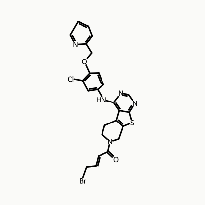 O=C(/C=C/CBr)N1CCc2c(sc3ncnc(Nc4ccc(OCc5ccccn5)c(Cl)c4)c23)C1